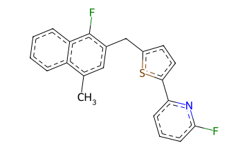 Cc1cc(Cc2ccc(-c3cccc(F)n3)s2)c(F)c2ccccc12